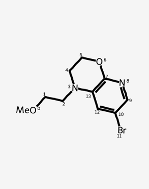 COCCN1CCOc2ncc(Br)cc21